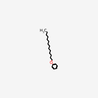 CCCCCCCCCCCCCCOc1cc[c]cc1